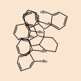 CCCCc1ccccc1P(c1ccccc1CCCC)C1CCCCC1(P(c1ccccc1CCCC)c1ccccc1CCCC)P(c1ccccc1CCCC)c1ccccc1CCCC